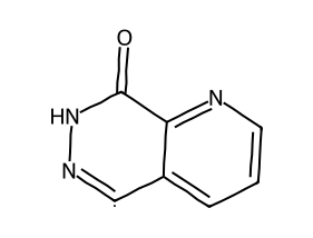 O=c1[nH]n[c]c2cccnc12